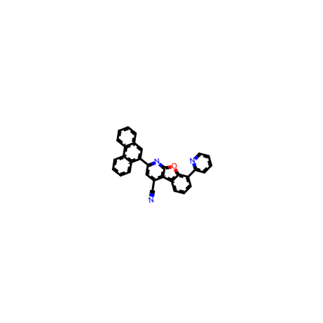 N#Cc1cc(-c2cc3ccccc3c3ccccc23)nc2oc3c(-c4ccccn4)cccc3c12